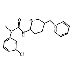 CN(C(=O)NC1CCC(Cc2ccccc2)CN1)c1cccc(Cl)c1